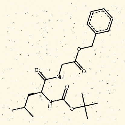 CC(C)C[C@H](NC(=O)OC(C)(C)C)C(=O)NCC(=O)OCc1ccccc1